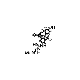 CNCCNC(S)Nc1ccc2c(c1)C(=O)OC21c2ccc(O)cc2Oc2cc(O)ccc21